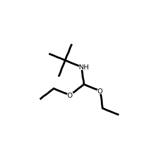 CCOC(NC(C)(C)C)OCC